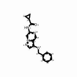 O=C(Nc1cn2ncc(OCc3ccccc3)c2cn1)C1CC1